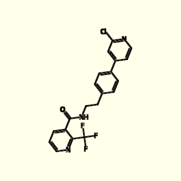 O=C(NCCc1ccc(-c2ccnc(Cl)c2)cc1)c1cccnc1C(F)(F)F